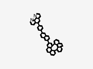 c1cnc2c(c1)cc(-c1ccc(-c3ccc4cc(-c5cc6ccc7cccc8c9cccc%10ccc%11cccc(c(c5)c6c78)c%11c%109)ccc4c3)cc1)c1cccnc12